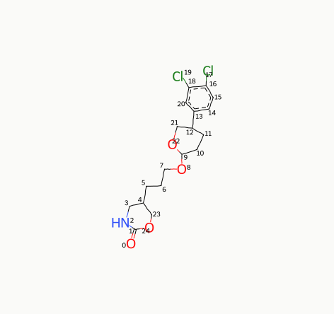 O=C1NCC(CCCOC2CCC(c3ccc(Cl)c(Cl)c3)CO2)CO1